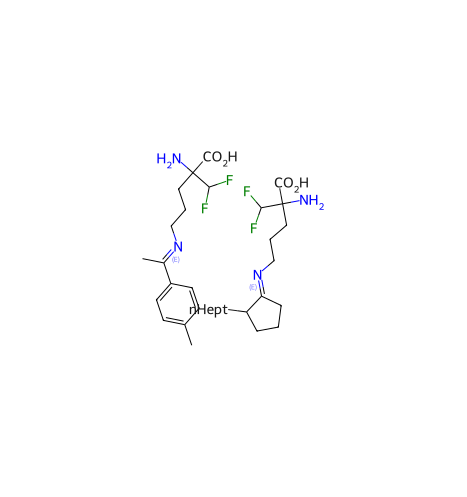 C/C(=N\CCCC(N)(C(=O)O)C(F)F)c1ccc(C)cc1.CCCCCCCC1CCC/C1=N\CCCC(N)(C(=O)O)C(F)F